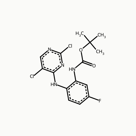 CC(C)(C)OC(=O)Nc1cc(F)ccc1Nc1nc(Cl)ncc1Cl